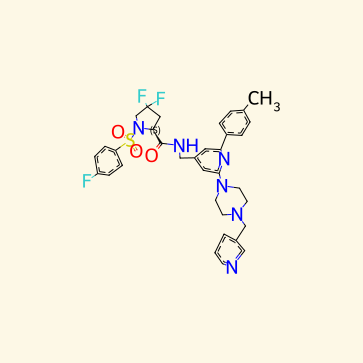 Cc1ccc(-c2cc(CNC(=O)[C@@H]3CC(F)(F)CN3S(=O)(=O)c3ccc(F)cc3)cc(N3CCN(Cc4cccnc4)CC3)n2)cc1